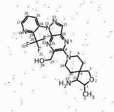 CC1OCC2(CCN(c3nc4cnn(-c5cccnc5C(F)(F)F)c4nc3CO)CC2)C1N